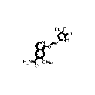 CC[C@@]1(F)C[C@@H](CCOc2nccc3cc(C(N)=O)c(OC)cc23)NC1=O